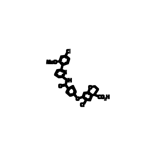 COc1cc(Cl)ccc1-c1cccc(NC(=O)c2ccc(Oc3cc4c(cc3Cl)C(C(=O)O)CCO4)cc2)n1